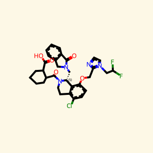 O=C(O)C1CCCCC1C(=O)N1CCc2c(Cl)ccc(OCc3nccn3CC(F)F)c2[C@H]1CN1Cc2ccccc2C1=O